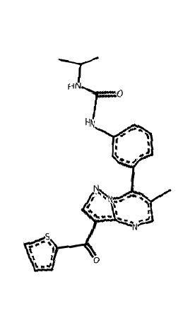 Cc1cnc2c(C(=O)c3cccs3)cnn2c1-c1cccc(NC(=O)NC(C)C)c1